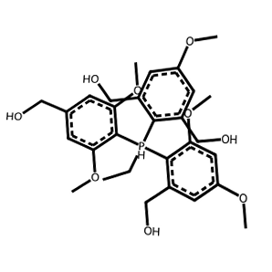 CC[PH](c1c(CO)cc(OC)cc1CO)(c1c(CO)cc(OC)cc1OC)c1c(OC)cc(CO)cc1OC